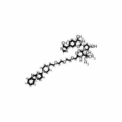 Cc1ncsc1-c1ccc(C(C)NC(=O)[C@@H]2C[C@@H](O)CN2C(=O)C(NC(=O)COCCOCCOCCN2CCN(c3ccn4c(n3)nc3ccccc34)CC2)C(C)(C)C)cc1